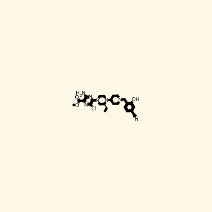 CC[C@H]1CN(c2nc(N)c(C(=O)OC)nc2Cl)CCN1C1CCN(Cc2ccc(C#N)cc2O)CC1